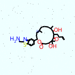 C=CCCC1C(=O)C(C)(C)C(O)CC(=O)OC(c2ccc3sc(CN)nc3c2)C/C=C(\C)CCCC(C)C1O